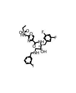 CCS(=O)(=O)Nc1nc(C(=O)N[C@@H](Cc2cc(F)cc(F)c2)[C@H](O)CNCc2cccc(I)c2)co1